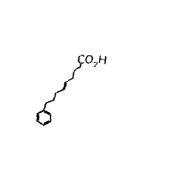 O=C(O)CCCC=CCCCc1ccccc1